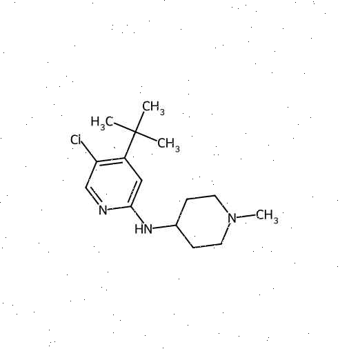 CN1CCC(Nc2cc(C(C)(C)C)c(Cl)cn2)CC1